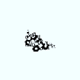 CCOc1cccc(-c2nc3nc(Cl)c(C(N[SH](=O)=O)c4ccccn4)nc3n2-c2c(OC)cccc2OC)n1